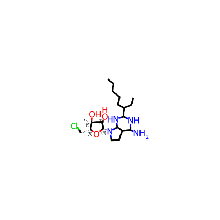 CCCCCC(CC)C1NC(N)C2CCN([C@@H]3O[C@H](CCl)[C@@](C)(O)[C@H]3O)C2N1